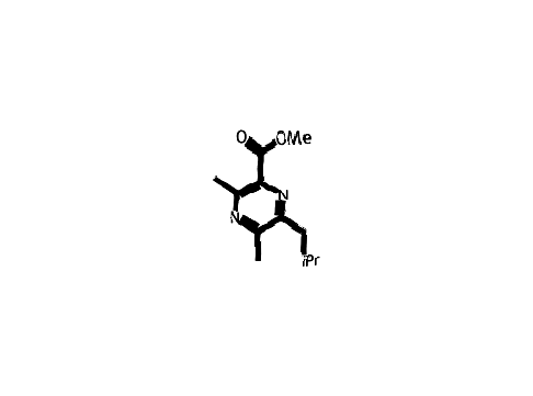 COC(=O)c1nc(CC(C)C)c(C)nc1C